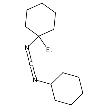 CCC1(N=C=NC2CCCCC2)CCCCC1